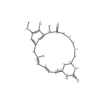 COc1cc2cc(c1Cl)N(C)C(=O)CCCSCC1CC(O)(C/C=C/C=C(\C)C2)NC(=O)O1